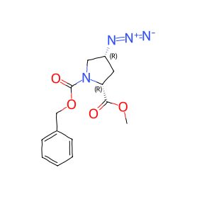 COC(=O)[C@H]1C[C@@H](N=[N+]=[N-])CN1C(=O)OCc1ccccc1